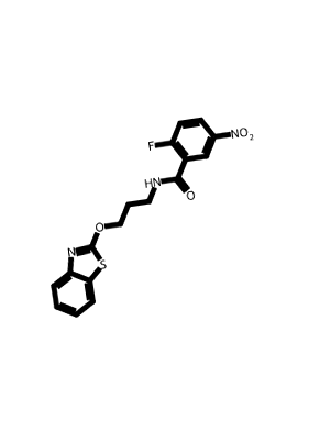 O=C(NCCCOc1nc2ccccc2s1)c1cc([N+](=O)[O-])ccc1F